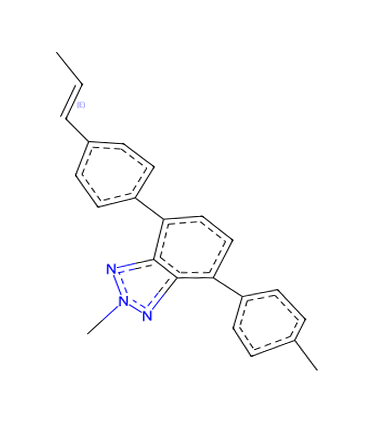 C/C=C/c1ccc(-c2ccc(-c3ccc(C)cc3)c3nn(C)nc23)cc1